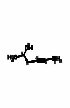 CC(O)CC#CN